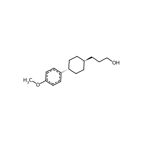 COc1ccc([C@H]2CC[C@H](CCCO)CC2)cc1